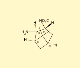 CC1(C)[C@H]2C[C@@H](C(=O)O)[C@H](N)[C@@H]1C2